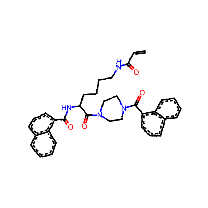 C=CC(=O)NCCCCC(NC(=O)c1cccc2ccccc12)C(=O)N1CCN(C(=O)c2cccc3ccccc23)CC1